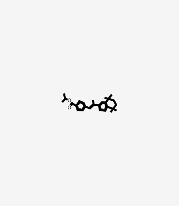 CC(=Cc1ccc(C(=O)OC(C)C)cc1)c1ccc2c(c1)C(C)(C)CCC2(C)C